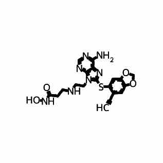 C#Cc1cc2c(cc1Sc1nc3c(N)ncnc3n1CCNCCC(=O)NO)OCO2